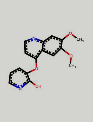 COc1cc2nccc(Oc3cccnc3O)c2cc1OC